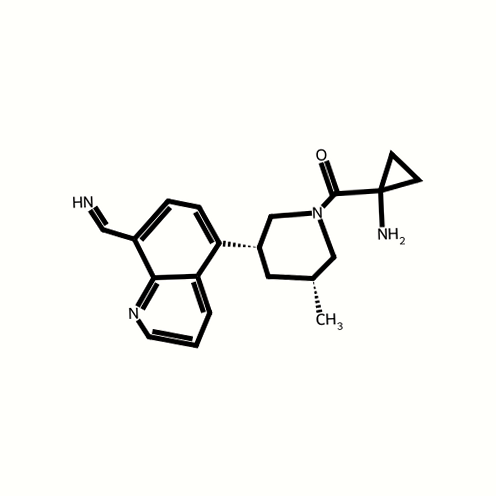 C[C@@H]1C[C@H](c2ccc(C=N)c3ncccc23)CN(C(=O)C2(N)CC2)C1